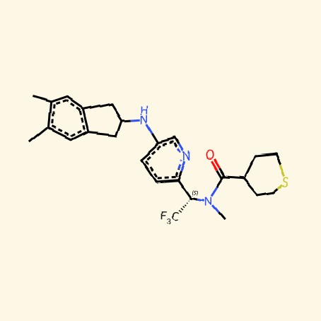 Cc1cc2c(cc1C)CC(Nc1ccc([C@H](N(C)C(=O)C3CCSCC3)C(F)(F)F)nc1)C2